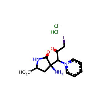 Cl.NC1(C(C(=O)CI)[n+]2ccccc2)CC(C(=O)O)NC1=O.[Cl-]